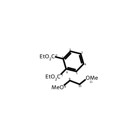 CCOC(=O)c1ccccc1C(=O)OCC.COCCOC